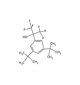 CC(C)(C)c1cc(C(C)(C)C)cc(C(O)(C(F)(F)F)C(F)(F)F)c1